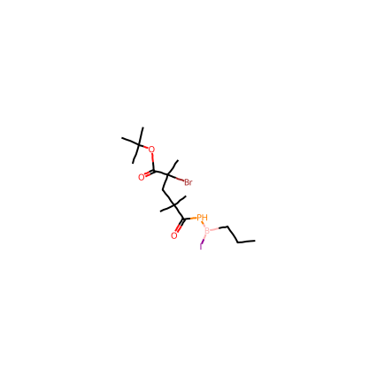 CCCB(I)PC(=O)C(C)(C)CC(C)(Br)C(=O)OC(C)(C)C